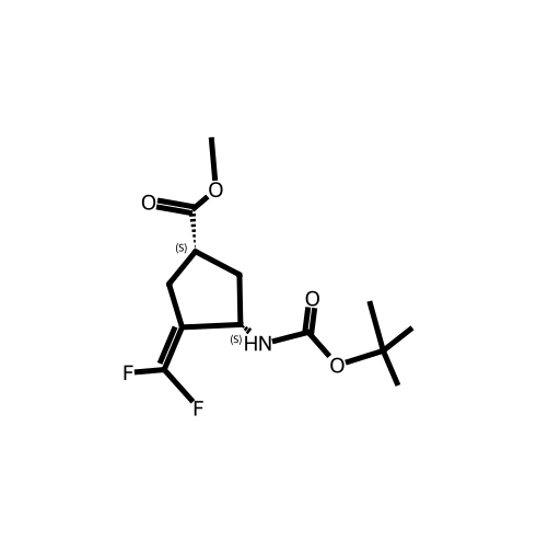 COC(=O)[C@H]1CC(=C(F)F)[C@@H](NC(=O)OC(C)(C)C)C1